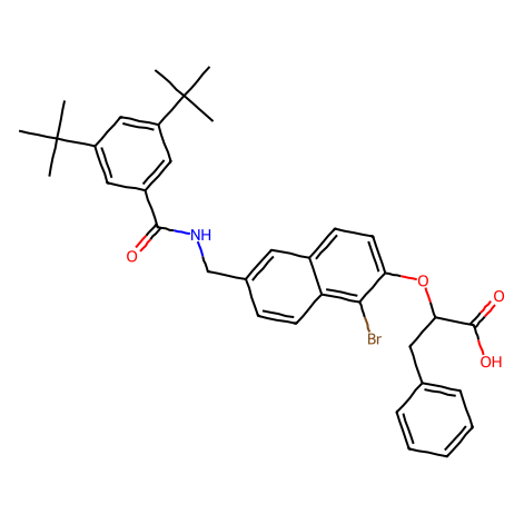 CC(C)(C)c1cc(C(=O)NCc2ccc3c(Br)c(OC(Cc4ccccc4)C(=O)O)ccc3c2)cc(C(C)(C)C)c1